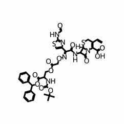 C=CC1=C(C(=O)O)N2C(=O)C(NC(=O)C(=NOCC(=O)OCC(NC(=O)OC(C)(C)C)C(=O)OC(c3ccccc3)c3ccccc3)c3csc(NC=O)n3)[C@@H]2SC1